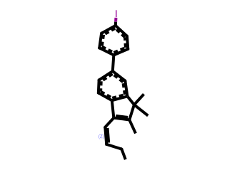 CC/C=C\C1=C(C)C(C)(C)c2cc(-c3ccc(I)cc3)ccc21